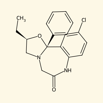 CC[C@@H]1CN2CC(=O)Nc3ccc(Cl)cc3[C@@]2(c2ccccc2)O1